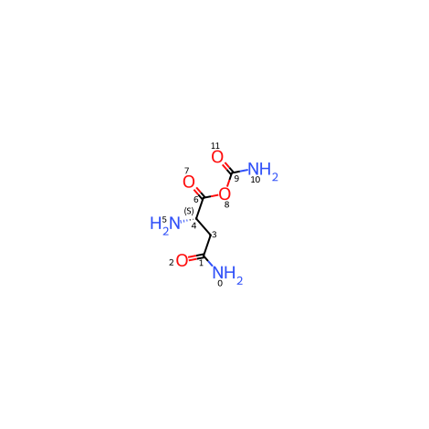 NC(=O)C[C@H](N)C(=O)OC(N)=O